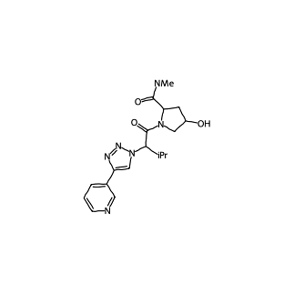 CNC(=O)C1CC(O)CN1C(=O)C(C(C)C)n1cc(-c2cccnc2)nn1